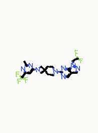 Cc1nc(N2CC3(CCN(c4ncc5cnn(CC(F)F)c5n4)CC3)C2)cc(C(F)(F)F)n1